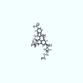 O=C(I)c1ccc2[nH]c3c(c2c1)CCN(CC(F)(F)F)C3c1c(F)cc(NC2CN(CCCF)C2)cc1F